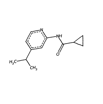 CC(C)c1ccnc(NC(=O)C2CC2)c1